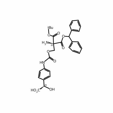 CC(C)(C)OC(=O)[C@@](N)(COC(=O)Nc1ccc([C@@H](O)C(=O)O)cc1)C(=O)OC(c1ccccc1)c1ccccc1